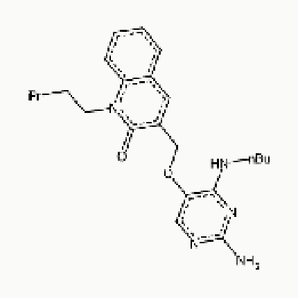 CCCCNc1nc(N)ncc1OCc1cc2ccccc2n(CCC(C)C)c1=O